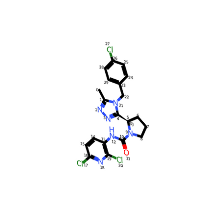 Cc1nnc([C@H]2CCCN2C(=O)Nc2ccc(Cl)nc2Cl)n1Cc1ccc(Cl)cc1